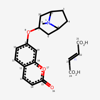 CN1C2CCC1CC(Oc1ccc3ccc(=O)oc3c1)C2.O=C(O)/C=C/C(=O)O